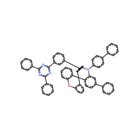 c1ccc(-c2ccc(N3c4cc(-c5ccccc5)ccc4C4(c5ccccc5Oc5ccccc54)c4cc(-c5cccc(-c6nc(-c7ccccc7)nc(-c7ccccc7)n6)c5)ccc43)cc2)cc1